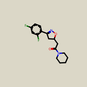 O=C(CC1CC(c2ccc(F)cc2F)=NO1)N1CCCCC1